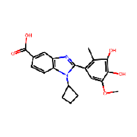 COc1cc(-c2nc3cc(C(=O)O)ccc3n2C2CCC2)c(C)c(O)c1O